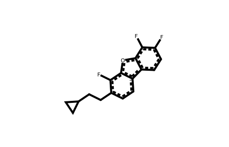 Fc1ccc2c(oc3c(F)c(CCC4CC4)ccc32)c1F